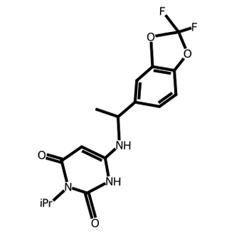 CC(Nc1cc(=O)n(C(C)C)c(=O)[nH]1)c1ccc2c(c1)OC(F)(F)O2